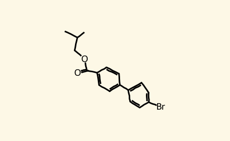 CC(C)COC(=O)c1ccc(-c2ccc(Br)cc2)cc1